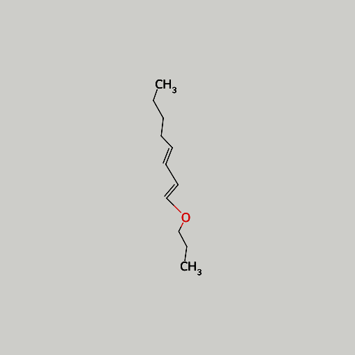 CCCC/C=C/C=C/OCCC